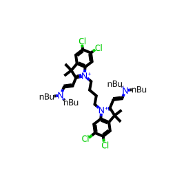 CCCCN(C=CC1=[N+](CCCC[N+]2=C(C=CN(CCCC)CCCC)C(C)(C)c3cc(Cl)c(Cl)cc32)c2cc(Cl)c(Cl)cc2C1(C)C)CCCC